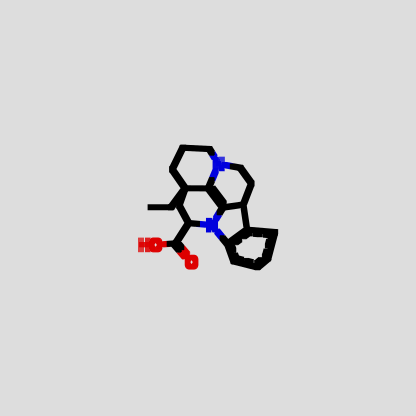 CCC12CCCN3CCC4C(=C31)N(c1ccccc14)C(C(=O)O)C2